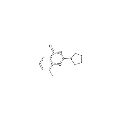 Cc1cccc2c(=O)nc(N3CCCC3)oc12